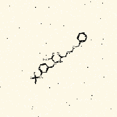 O=C(CCCOCc1ccccc1)N[C@@H](Cc1cccc(OC(F)(F)F)c1)C(=O)O